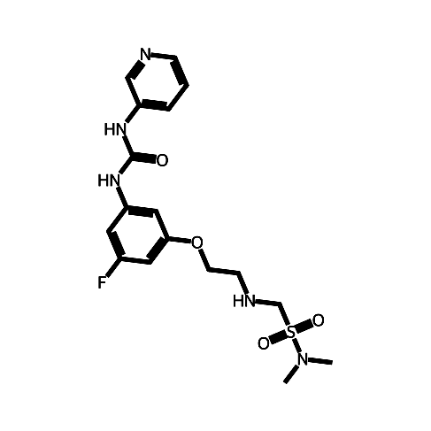 CN(C)S(=O)(=O)CNCCOc1cc(F)cc(NC(=O)Nc2cccnc2)c1